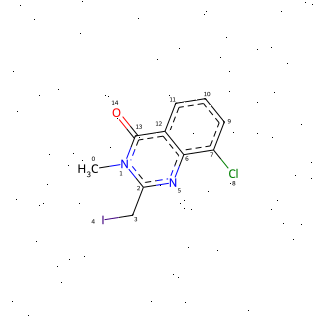 Cn1c(CI)nc2c(Cl)cccc2c1=O